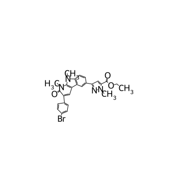 CCOC(=O)c1cc(-c2ccc3c(c2)c2cc(-c4ccc(Br)cc4)c(=O)n(C)c2n3C)nn1C